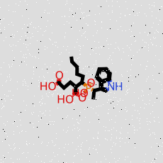 CCCCCC(C(CCC(=O)O)C(=O)O)P(=O)(O)C(C)c1c[nH]c2ccccc12